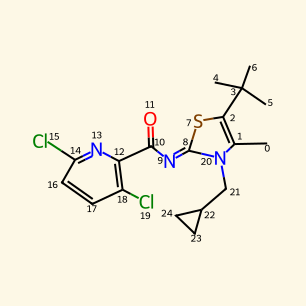 Cc1c(C(C)(C)C)s/c(=N\C(=O)c2nc(Cl)ccc2Cl)n1CC1CC1